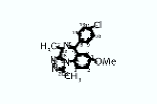 COc1ccc2c(c1)C(c1ccc(Cl)cc1)=NC(C)c1nnc(C)n1-2